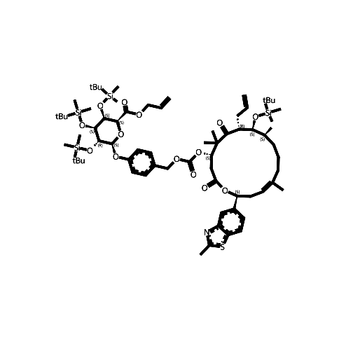 C=CCOC(=O)[C@H]1O[C@@H](Oc2ccc(COC(=O)O[C@H]3CC(=O)O[C@H](c4ccc5sc(C)nc5c4)CC=C(C)CCC[C@H](C)[C@H](O[Si](C)(C)C(C)(C)C)[C@@H](CC=C)C(=O)C3(C)C)cc2)[C@H](O[Si](C)(C)C(C)(C)C)[C@@H](O[Si](C)(C)C(C)(C)C)[C@H]1O[Si](C)(C)C(C)(C)C